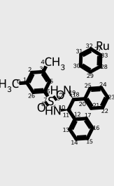 Cc1cc(C)cc(S(=O)(=O)N[C@H](c2ccccc2)[C@H](N)c2ccccc2)c1.[Ru].c1ccccc1